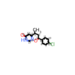 CC(CC(=O)c1ccc(Cl)cc1)c1cc(=O)[nH]cn1